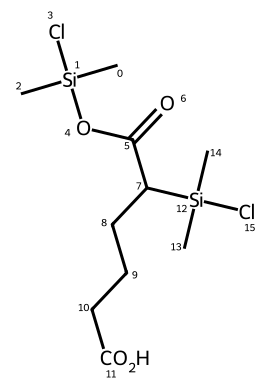 C[Si](C)(Cl)OC(=O)C(CCCC(=O)O)[Si](C)(C)Cl